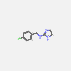 Clc1ccc(CNC2=NCCN2)cc1